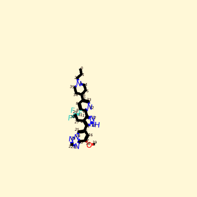 CCCN1CCC(c2ccc(-c3n[nH]c(-c4cc(OC)c5ncnn5c4)c3CC(F)(F)F)nc2)CC1